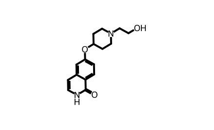 O=c1[nH]ccc2cc(OC3CCN(CCO)CC3)ccc12